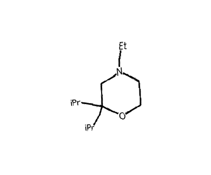 CCN1CCOC(C(C)C)(C(C)C)C1